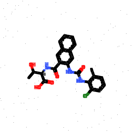 Cc1cccc(Cl)c1NC(=O)Nc1cc2ccccc2cc1C(=O)N[C@H](C(=O)O)C(C)O